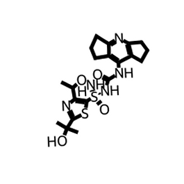 CC(O)c1nc(C(C)(C)O)sc1[S@@](=N)(=O)NC(=O)Nc1c2c(nc3c1CCC3)CCC2